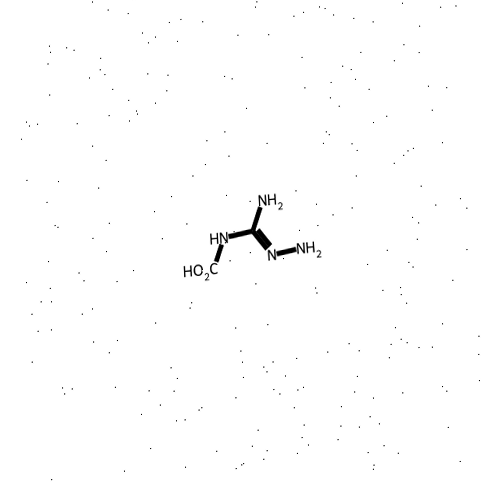 NN=C(N)NC(=O)O